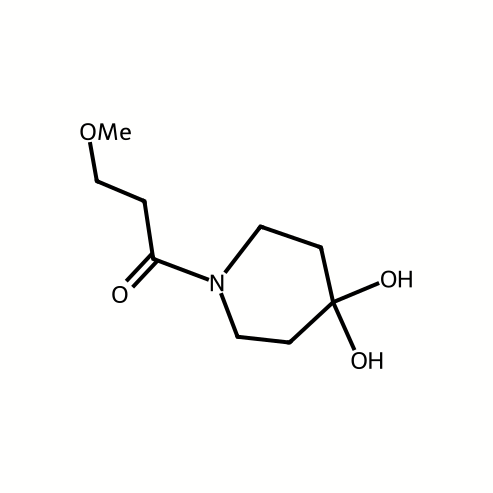 COCCC(=O)N1CCC(O)(O)CC1